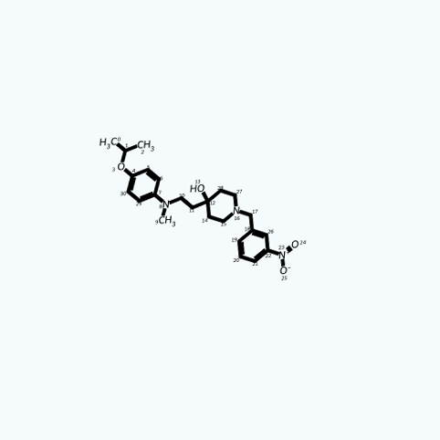 CC(C)Oc1ccc(N(C)CCC2(O)CCN(Cc3cccc([N+](=O)[O-])c3)CC2)cc1